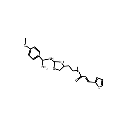 COc1ccc(C(N)NC2NC(CCNC(=O)/C=C/c3ccco3)CS2)cc1